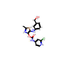 Cc1nc(OC(=O)Nc2ccnc(Cl)c2)c(Nc2cccc(CO)c2)s1